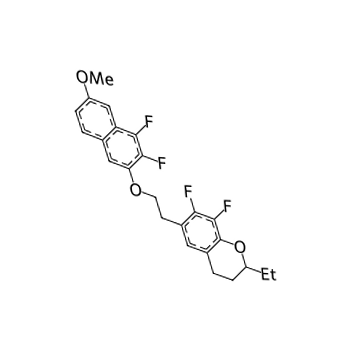 CCC1CCc2cc(CCOc3cc4ccc(OC)cc4c(F)c3F)c(F)c(F)c2O1